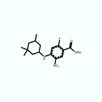 COC(=O)c1cc([N+](=O)[O-])c(NC2CC(C)CC(C)(C)C2)cc1F